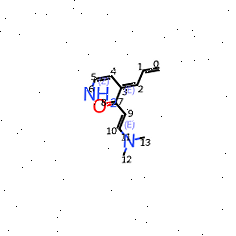 C=C/C=C(\C=C/N)C(=O)/C=C/N(C)C